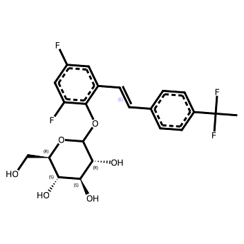 CC(F)(F)c1ccc(/C=C/c2cc(F)cc(F)c2OC2O[C@H](CO)[C@@H](O)[C@H](O)[C@H]2O)cc1